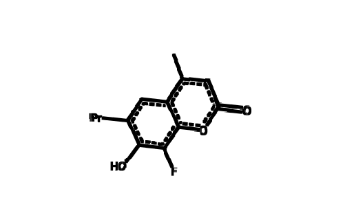 Cc1cc(=O)oc2c(F)c(O)c(C(C)C)cc12